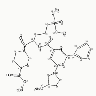 CCCCOC(=O)N1CCN(C(=O)C(CCCP(=O)(OCC)OCC)NC(=O)c2cc(N3CCC(OC)C3)nc(-c3ccccc3)n2)CC1